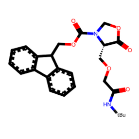 CC(C)(C)NC(=O)COC[C@H]1C(=O)OCN1C(=O)OCC1c2ccccc2-c2ccccc21